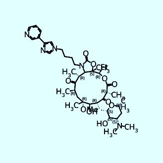 CC[C@H]1OC(=O)[C@H](C)C(=O)[C@H](C[C@@H]2O[C@H](C)C[C@H](N(C)C)[C@@H]2O)C(O)[C@](C)(OC)C[C@@H](C)C(=O)[C@H](C)C2N(CCCCn3cnc(-c4cccnc4)c3)C(=O)O[C@@]21C